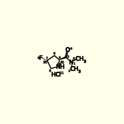 CN(C)C(=O)[C@@H]1C[C@@H](F)CN1.Cl